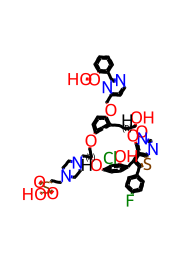 O=C(O)[C@H]1Cc2cc(ccc2OCc2ccnc(-c3ccccc3OO)n2)OC[C@@H](CN2CCN(CCS(=O)(=O)O)CC2)Oc2ccc(c(O)c2Cl)-c2c(-c3ccc(F)cc3)sc3ncnc(c23)O1